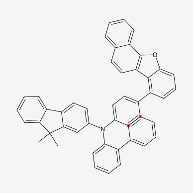 CC1(C)c2ccccc2-c2ccc(N(c3ccc(-c4cccc5oc6c7ccccc7ccc6c45)cc3)c3ccccc3-c3ccccc3)cc21